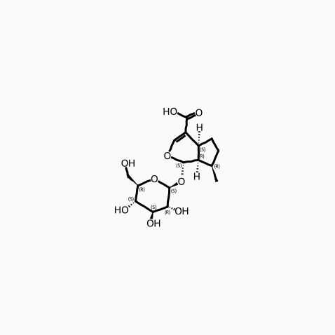 C[C@@H]1CC[C@@H]2C(C(=O)O)=CO[C@@H](O[C@@H]3O[C@H](CO)[C@@H](O)[C@H](O)[C@H]3O)[C@H]12